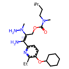 CCc1nc(/C(N)=C(\COC(=O)N(C)CCC(C)C)N(C)N)ccc1OC1CCCCC1